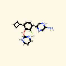 Nc1cnc(-c2ccc(C3CCC3)c(Oc3ncccn3)c2F)cn1